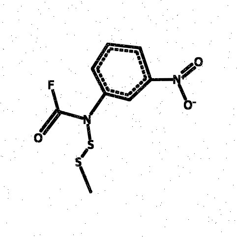 CSSN(C(=O)F)c1cccc([N+](=O)[O-])c1